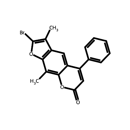 Cc1c(Br)oc2c(C)c3oc(=O)cc(-c4ccccc4)c3cc12